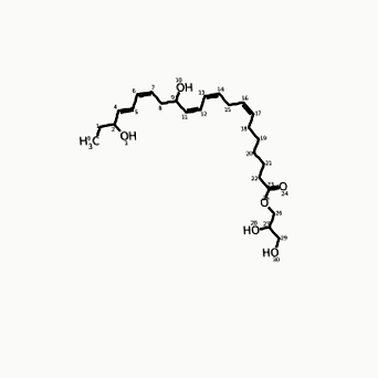 CCC(O)/C=C/C=C\CC(O)/C=C\C=C/C/C=C\CCCCCC(=O)OCC(O)CO